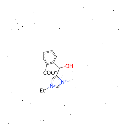 CCn1cc(C(O)c2ccccc2C(=O)[O-])[n+](C)c1